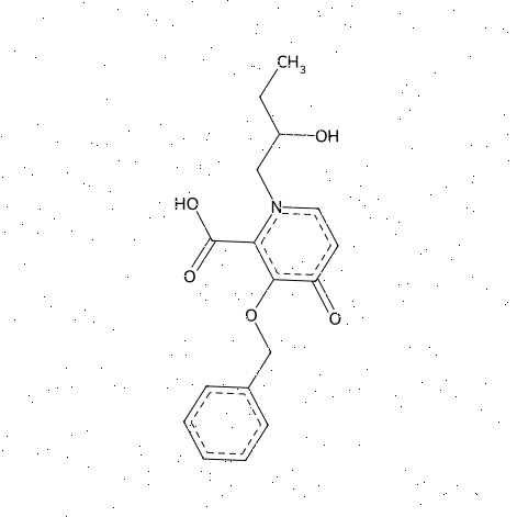 CCC(O)Cn1ccc(=O)c(OCc2ccccc2)c1C(=O)O